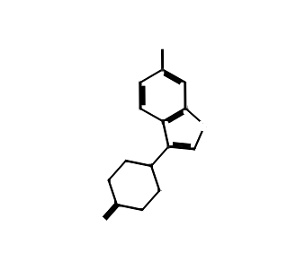 O=C1CCC(c2c[nH]c3cc(F)ccc23)CC1